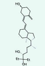 C=C1CC[C@H](O)C/C1=C/C=C1CCC[C@@]2(C)C1CC[C@@H]2[C@H](C)CC[C@@H](O)C(O)(CC)CC